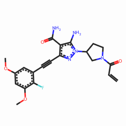 C=CC(=O)N1CCC(n2nc(C#Cc3cc(OC)cc(OC)c3F)c(C(N)=O)c2N)C1